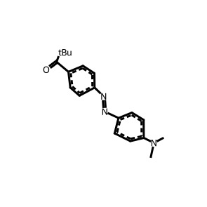 CN(C)c1ccc(/N=N/c2ccc(C(=O)C(C)(C)C)cc2)cc1